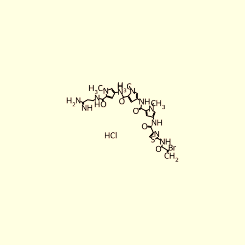 C=C(Br)C(=O)Nc1nc(C(=O)Nc2cc(C(=O)Nc3cc(C(=O)Nc4cc(C(=O)NCCC(=N)N)n(C)c4)n(C)c3)n(C)c2)cs1.Cl